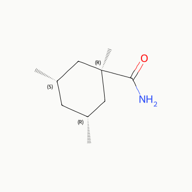 C[C@@H]1C[C@H](C)C[C@@](C)(C(N)=O)C1